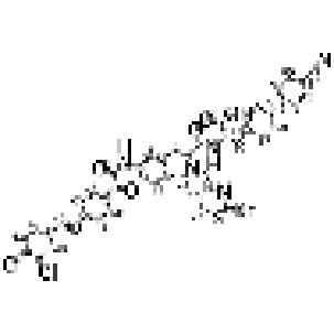 N#Cc1ccc(-c2ccc(CC(NC(=O)[C@@H]3Cc4cc5c(cc4CN3Cc3cccc(Br)n3)O[C@@H](c3ccc(OCc4ccc(Cl)c(Cl)c4)cc3)C(=O)N5)C(=O)O)cc2)cc1